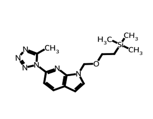 Cc1nnnn1-c1ccc2ccn(COCC[Si](C)(C)C)c2n1